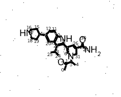 CC(=O)C(C)N1C=C(c2[nH]c3ccc(C4CCNCC4)cc3c2C(C)C)C=C(C(N)=O)C1